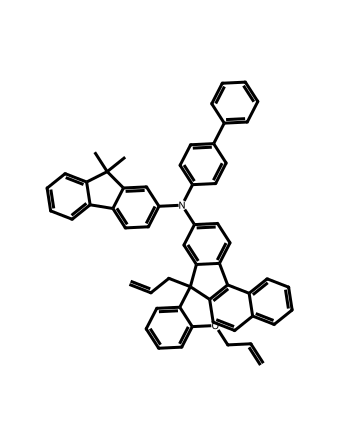 C=CCOc1ccccc1C1(CC=C)c2cc(N(c3ccc(-c4ccccc4)cc3)c3ccc4c(c3)C(C)(C)c3ccccc3-4)ccc2-c2c1ccc1ccccc21